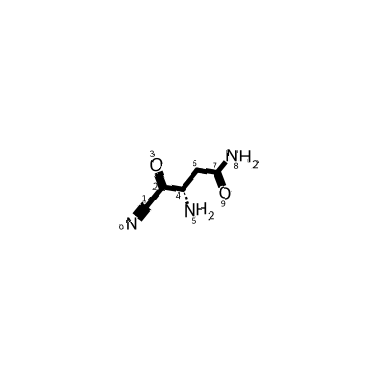 N#CC(=O)[C@@H](N)CC(N)=O